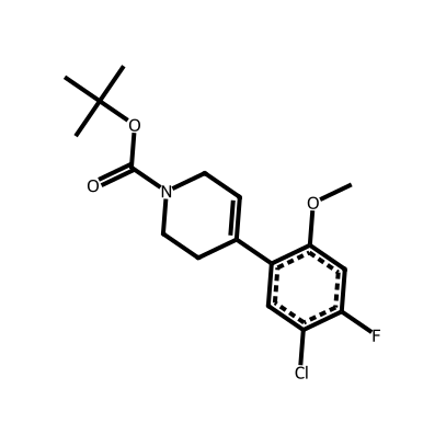 COc1cc(F)c(Cl)cc1C1=CCN(C(=O)OC(C)(C)C)CC1